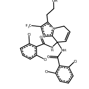 O=C(NC1(NC(=O)c2c(Cl)cccc2Cl)C=CCn2c1nc(C(F)(F)F)c2CCO)c1c(Cl)cccc1Cl